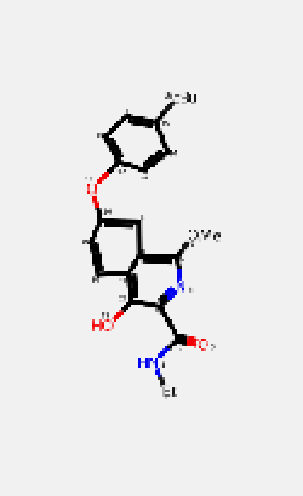 CCNC(=O)c1nc(OC)c2cc(Oc3ccc(C(C)(C)C)cc3)ccc2c1O